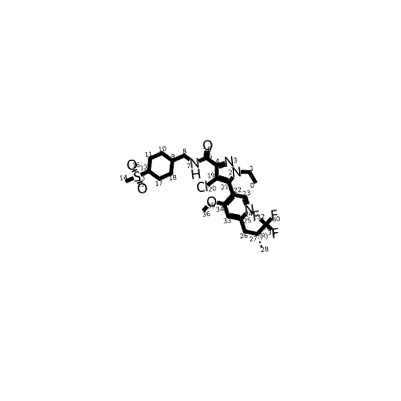 CCn1nc(C(=O)NCC2CCC(S(C)(=O)=O)CC2)c(Cl)c1-c1cnc(C[C@@H](C)C(F)(F)F)cc1OC